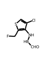 O=CBNc1c(Cl)csc1CF